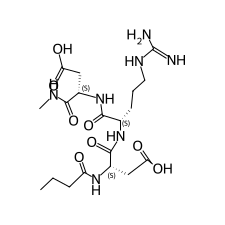 CCCC(=O)N[C@@H](CC(=O)O)C(=O)N[C@@H](CCCNC(=N)N)C(=O)N[C@@H](CC(=O)O)C(=O)NC